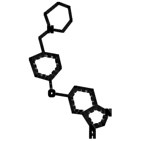 c1nc2ccc(Oc3ccc(CN4CCCCC4)cc3)cc2[nH]1